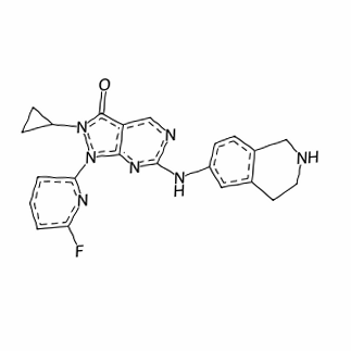 O=c1c2cnc(Nc3ccc4c(c3)CCNC4)nc2n(-c2cccc(F)n2)n1C1CC1